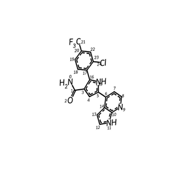 NC(=O)c1cc(-c2ccnc3[nH]ccc23)[nH]c1-c1ccc(C(F)(F)F)cc1Cl